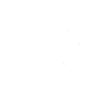 Cc1ccccc1P(c1ccccn1)c1ccccc1C